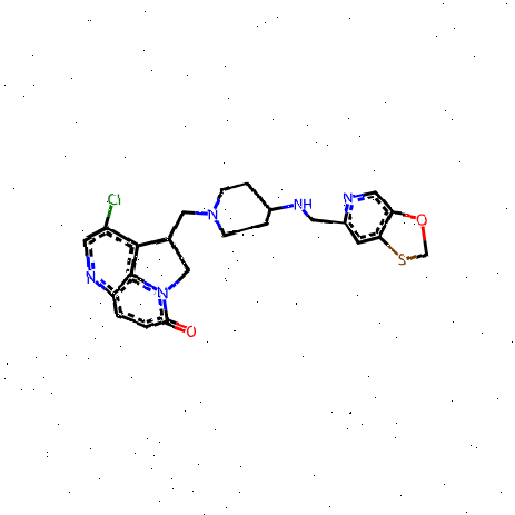 O=c1ccc2ncc(Cl)c3c2n1CC3CN1CCC(NCc2cc3c(cn2)OCS3)CC1